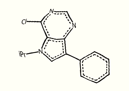 CC(C)n1cc(-c2ccccc2)c2ncnc(Cl)c21